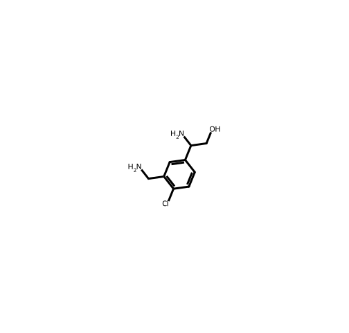 NCc1cc(C(N)CO)ccc1Cl